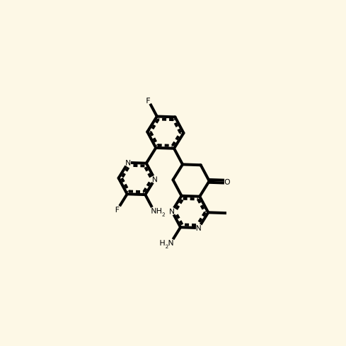 Cc1nc(N)nc2c1C(=O)CC(c1ccc(F)cc1-c1ncc(F)c(N)n1)C2